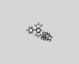 C[Si](C)(C1C=CC=C1)[Si](C)(C)C1C=Cc2c1cc1c(c2-c2ccccc2)CCC1